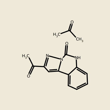 CC(=O)c1cc2c3ccccc3[nH]c(=O)n2n1.CC(C)=O